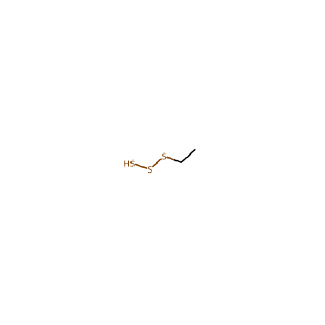 CCSSS